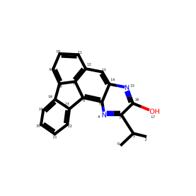 CC(C)c1nc2c3c4c(cccc4cc2nc1O)-c1ccccc1-3